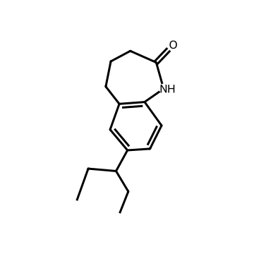 CCC(CC)c1ccc2c(c1)CCCC(=O)N2